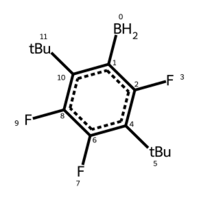 Bc1c(F)c(C(C)(C)C)c(F)c(F)c1C(C)(C)C